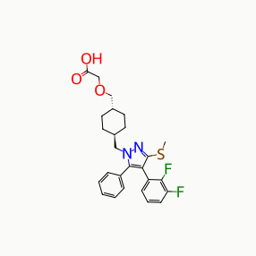 CSc1nn(C[C@H]2CC[C@H](COCC(=O)O)CC2)c(-c2ccccc2)c1-c1cccc(F)c1F